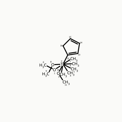 C[O][Ti]([CH3])([CH3])([CH3])([CH3])([CH3])([O]C)([O]C)[C]1=CC=CC1